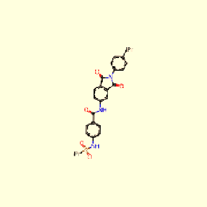 CC(C)c1ccc(N2C(=O)c3ccc(NC(=O)c4ccc(NS(=O)(=O)C(C)C)cc4)cc3C2=O)cc1